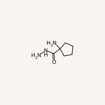 NNC(=O)C1(N)CCCC1